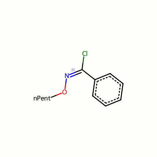 CCCCCO/N=C(/Cl)c1ccccc1